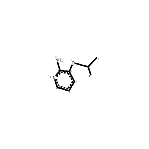 CC(C)Oc1cccnc1N